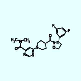 CN(C)C(=O)c1cc(N2CCC(C(=O)N3OCC[C@H]3c3cc(F)cc(F)c3)CC2)ncn1